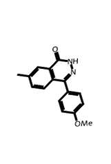 COc1ccc(-c2n[nH]c(=O)c3cc(C)ccc23)cc1